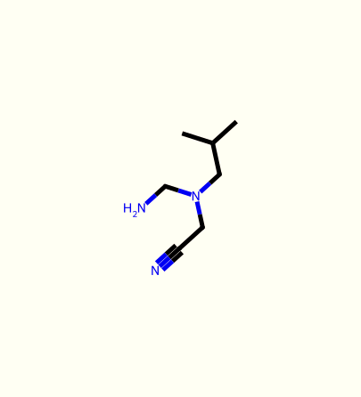 CC(C)CN(CN)CC#N